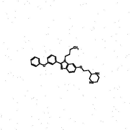 CCCCn1c(-c2cccc(Oc3ccccc3)c2)nc2ccc(OCCC3CNCCN3)cc21